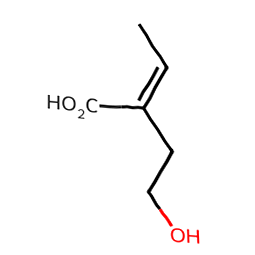 C/C=C(/CCO)C(=O)O